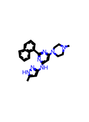 Cc1cc(Nc2cc(N3CCN(C)CC3)nc(-c3cccc4ccccc34)n2)n[nH]1